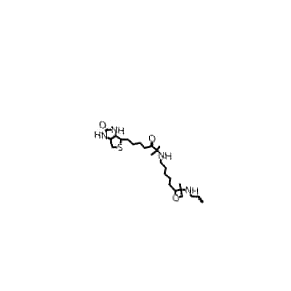 C=CCNC1(C)COC1CCCCCNC(C)(C)C(=O)CCCCC1SCC2NC(=O)NC21